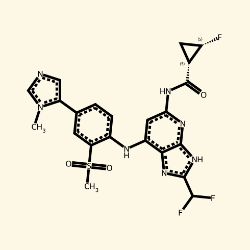 Cn1cncc1-c1ccc(Nc2cc(NC(=O)[C@@H]3C[C@@H]3F)nc3[nH]c(C(F)F)nc23)c(S(C)(=O)=O)c1